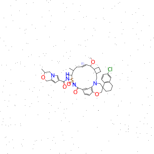 COC1/C=C/CC(C)C(C)S(=O)(NC(=O)c2cc3n(c2)CC(C)OC3)=NC(=O)c2ccc3c(c2)N(CC2CCC21)CC1(CCCc2cc(Cl)ccc21)CO3